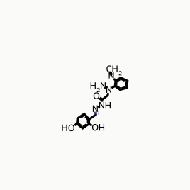 C=Nc1ccccc1N(N)CC(=O)N/N=C/c1ccc(O)cc1O